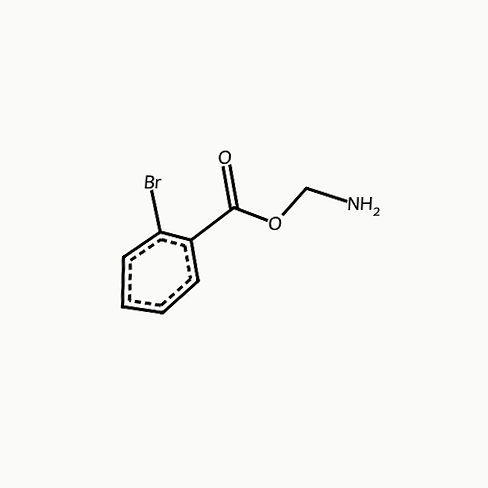 NCOC(=O)c1ccccc1Br